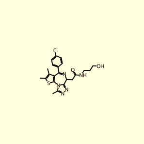 Cc1sc2c(c1C)C(c1ccc(Cl)cc1)=NC(CC(=O)NCCCO)c1nnc(C)n1-2